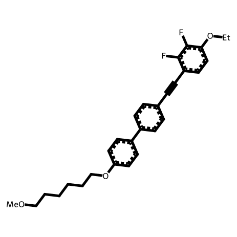 CCOc1ccc(C#Cc2ccc(-c3ccc(OCCCCCCOC)cc3)cc2)c(F)c1F